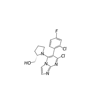 OC[C@@H]1CCCN1c1c(-c2ccc(F)cc2Cl)c(Cl)nc2nccn12